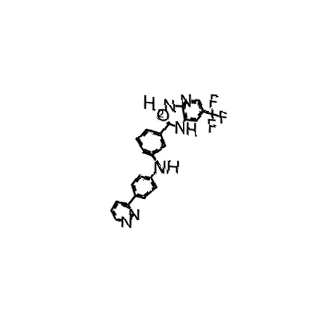 Nc1ncc(C(F)(F)F)cc1NC(=O)c1cccc(Nc2ccc(-c3cccnn3)cc2)c1